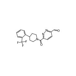 O=Cc1ccc(C(=O)N2CCC(c3ccccc3C(F)(F)F)CC2)nn1